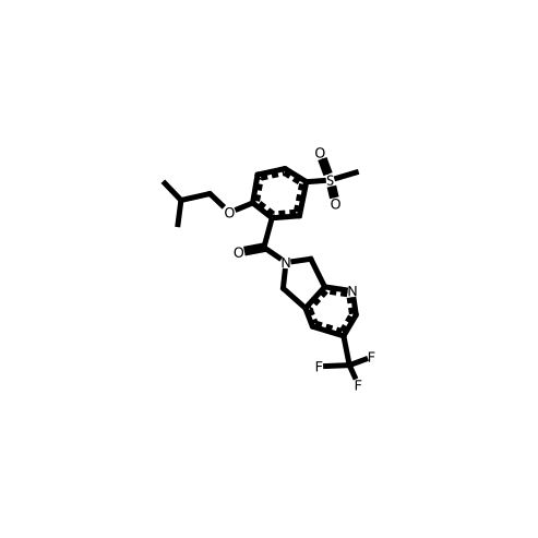 CC(C)COc1ccc(S(C)(=O)=O)cc1C(=O)N1Cc2cc(C(F)(F)F)cnc2C1